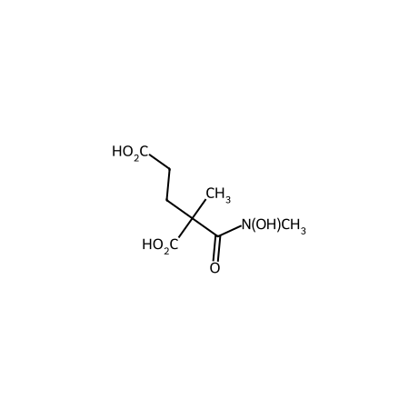 CN(O)C(=O)C(C)(CCC(=O)O)C(=O)O